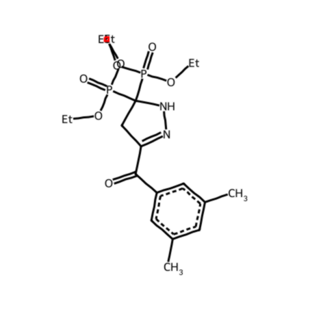 CCOP(=O)(OCC)C1(P(=O)(OCC)OCC)CC(C(=O)c2cc(C)cc(C)c2)=NN1